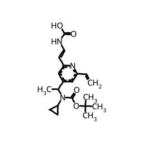 C=Cc1cc(C(C)N(C(=O)OC(C)(C)C)C2CC2)cc(C=CNC(=O)O)n1